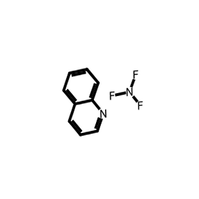 FN(F)F.c1ccc2ncccc2c1